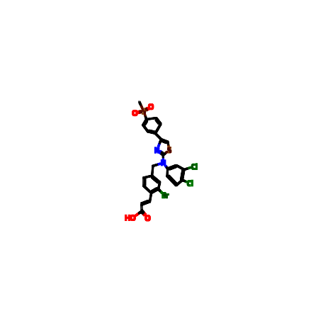 CS(=O)(=O)c1ccc(-c2csc(N(Cc3ccc(C=CC(=O)O)c(Br)c3)c3ccc(Cl)c(Cl)c3)n2)cc1